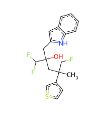 CC(CF)(CC(O)(Cc1cc2ccccc2[nH]1)C(F)F)c1ccsc1